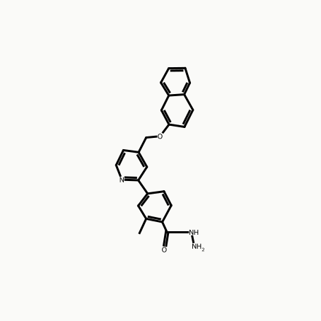 Cc1cc(-c2cc(COc3ccc4ccccc4c3)ccn2)ccc1C(=O)NN